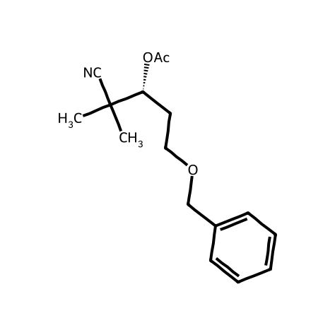 CC(=O)O[C@H](CCOCc1ccccc1)C(C)(C)C#N